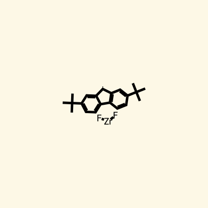 CC(C)(C)c1ccc2c(c1)[CH]c1cc(C(C)(C)C)ccc1-2.[F][Zr][F]